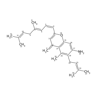 C=C1C=C(/C=C\C=C(/C)CC=C(C)C)Oc2cc(N)c(CC=C(C)C)c(C)c21